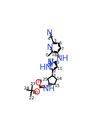 Cc1nc(C#N)ccc1Nc1cc([C@H]2CC[C@@H](NC(=O)OC(C)(C)C)C2)[nH]n1